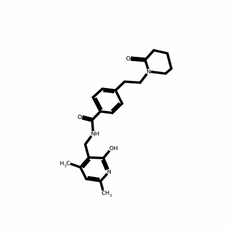 Cc1cc(C)c(CNC(=O)c2ccc(CCN3CCCCC3=O)cc2)c(O)n1